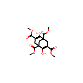 COC(=O)C1=C(O)C2(C(=O)OC)CC(C(=O)OC)=C(O)C(C(=O)OC)(C1)C2